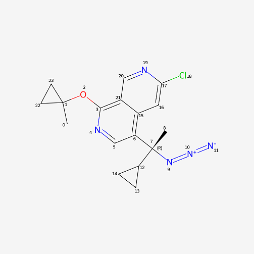 CC1(Oc2ncc([C@](C)(N=[N+]=[N-])C3CC3)c3cc(Cl)ncc23)CC1